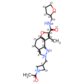 CC(=O)N1CC(Cn2cc3c(n2)-c2c(oc(C(=O)NCC4CCCO4)c2C)CC3)C1